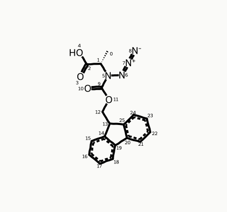 C[C@@H](C(=O)O)N(N=[N+]=[N-])C(=O)OCC1c2ccccc2-c2ccccc21